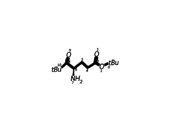 CC(C)(C)OC(=O)CC[C@@H](N)C(=O)C(C)(C)C